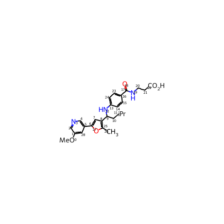 COc1cncc(-c2cc(C(CC(C)C)Nc3ccc(C(=O)NCCC(=O)O)cc3)c(C)o2)c1